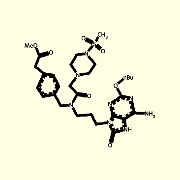 CCCCOc1nc(N)c2[nH]c(=O)n(CCCN(Cc3ccc(CC(=O)OC)cc3)C(=O)CN3CCN(S(C)(=O)=O)CC3)c2n1